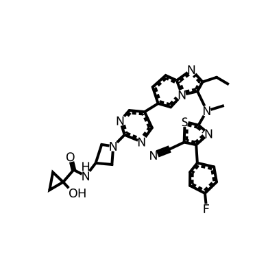 CCc1nc2ccc(-c3cnc(N4CC(NC(=O)C5(O)CC5)C4)nc3)cn2c1N(C)c1nc(-c2ccc(F)cc2)c(C#N)s1